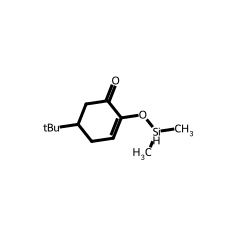 C[SiH](C)OC1=CCC(C(C)(C)C)CC1=O